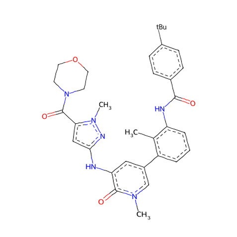 Cc1c(NC(=O)c2ccc(C(C)(C)C)cc2)cccc1-c1cc(Nc2cc(C(=O)N3CCOCC3)n(C)n2)c(=O)n(C)c1